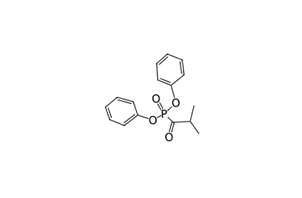 CC(C)C(=O)P(=O)(Oc1ccccc1)Oc1ccccc1